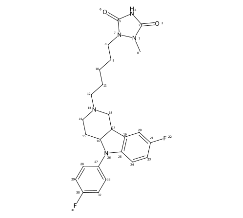 Cn1c(=O)[nH]c(=O)n1CCCCCN1CCC2C(C1)c1cc(F)ccc1N2c1ccc(F)cc1